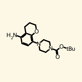 CC(C)(C)OC(=O)N1CCN(c2ccc(N)c3c2OCCC3)CC1